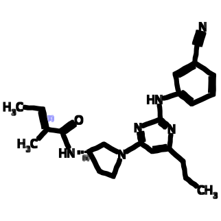 C/C=C(\C)C(=O)N[C@H]1CCN(c2cc(CCC)nc(Nc3cccc(C#N)c3)n2)C1